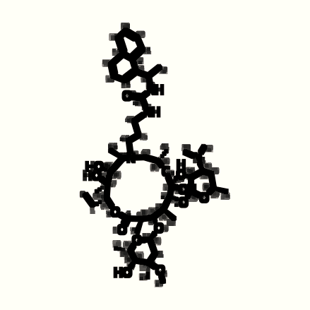 CC[C@H]1OC(=O)[C@H](C)[C@@H](O[C@H]2C[C@@](C)(OC)[C@@H](O)[C@H](C)O2)[C@H](C)[C@@H](O[C@@H]2O[C@H](C)C[C@H](N(C)C)[C@H]2O)[C@](C)(O)C[C@@H](C)CN(CCCNC(=O)NC(C)c2cccc3ccccc23)[C@H](C)[C@@H](O)[C@]1(C)O